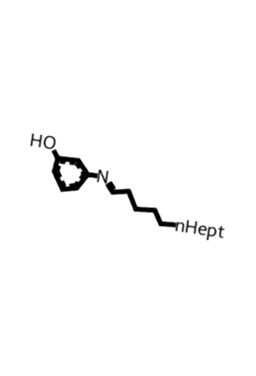 CCCCCCCCCCCC=Nc1cccc(O)c1